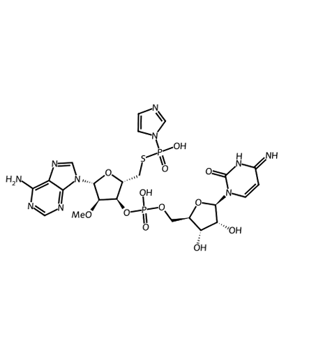 CO[C@@H]1[C@H](OP(=O)(O)OC[C@H]2O[C@@H](n3ccc(=N)[nH]c3=O)[C@H](O)[C@@H]2O)[C@@H](CSP(=O)(O)n2ccnc2)O[C@H]1n1cnc2c(N)ncnc21